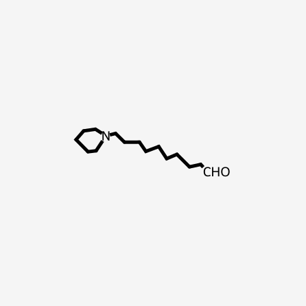 O=CCCCCCCCCCN1CCCCC1